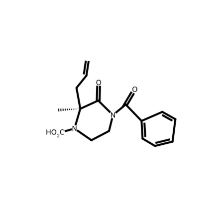 C=CC[C@@]1(C)C(=O)N(C(=O)c2ccccc2)CCN1C(=O)O